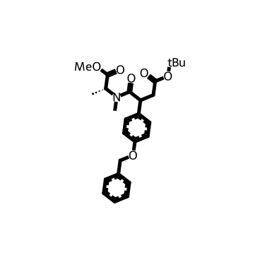 COC(=O)[C@@H](C)N(C)C(=O)C(CC(=O)OC(C)(C)C)c1ccc(OCc2ccccc2)cc1